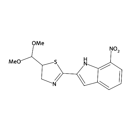 COC(OC)C1CN=C(c2cc3cccc([N+](=O)[O-])c3[nH]2)S1